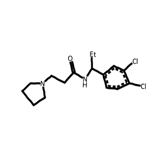 CCC(NC(=O)CCN1CCCC1)c1ccc(Cl)c(Cl)c1